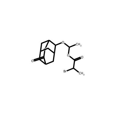 CC(OC(=O)C(C)Br)OC1C2CC3CC(C2)C(=O)OC1C3